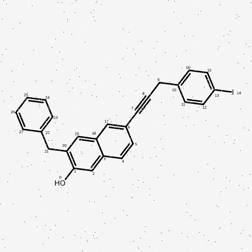 Oc1cc2ccc(C#CCc3ccc(I)cc3)cc2cc1Cc1ccccc1